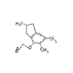 Cc1cc2c(c(OCBr)c1C)CC(C)C2